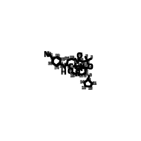 CC(C)(C)[C@H](NC(=O)[C@H](CC1CCCC1)CN(O)C=O)C(=O)N1CCC(Nc2ccc(C#N)cc2)CC1